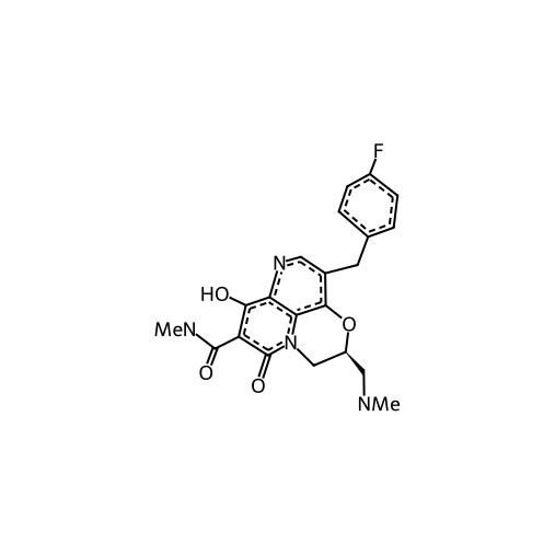 CNC[C@H]1Cn2c(=O)c(C(=O)NC)c(O)c3ncc(Cc4ccc(F)cc4)c(c32)O1